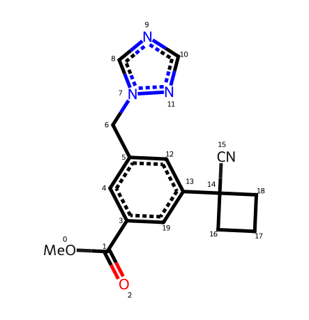 COC(=O)c1cc(Cn2cncn2)cc(C2(C#N)CCC2)c1